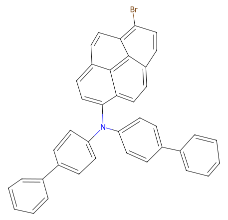 Brc1ccc2ccc3c(N(c4ccc(-c5ccccc5)cc4)c4ccc(-c5ccccc5)cc4)ccc4ccc1c2c43